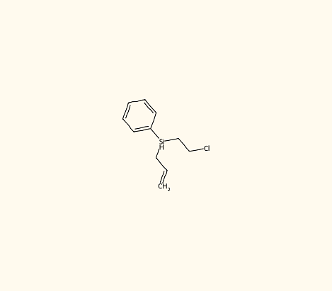 C=CC[SiH](CCCl)c1ccccc1